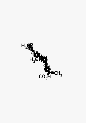 CC#C[C@@H](CC(=O)O)c1ccc(OCc2ccc3nc(-c4ccc(OCCCS(C)(=O)=O)cc4C)nn3c2)cc1